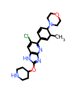 CC1C=C(c2nc3nc(OC4CCNCC4)[nH]c3cc2Cl)C=CC1N1CCOCC1